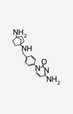 Nc1ccn(-c2ccc(CNC34CCC(N)(CC3)C4)cc2)c(=O)n1